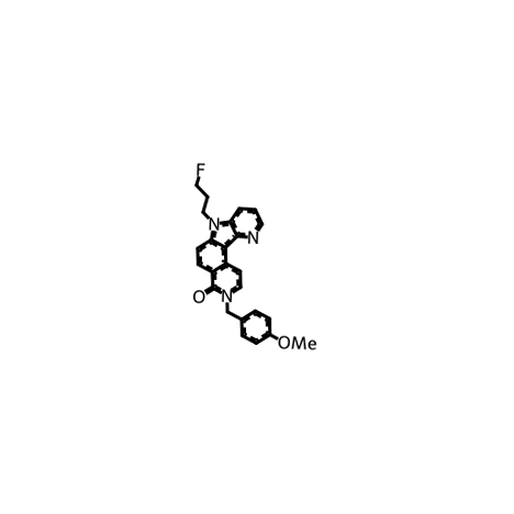 COc1ccc(Cn2ccc3c(ccc4c3c3ncccc3n4CCCF)c2=O)cc1